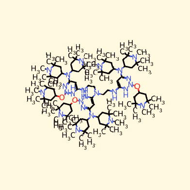 CN1C(C)(C)CC(ON2N=C(N(C3CC(C)(C)N(C)C(C)(C)C3)C3CC(C)(C)N(C)C(C)(C)C3)C=C(NCCN(CCNC3=CC(N(C4CC(C)(C)N(C)C(C)(C)C4)C4CC(C)(C)N(C)C(C)(C)C4)=NN(OC4CC(C)(C)N(C)C(C)(C)C4)N3)C3=CC(N(C4CC(C)(C)N(C)C(C)(C)C4)C4CC(C)(C)N(C)C(C)(C)C4)=NN(OC4CC(C)(C)N(C)C(C)(C)C4)N3)N2)CC1(C)C